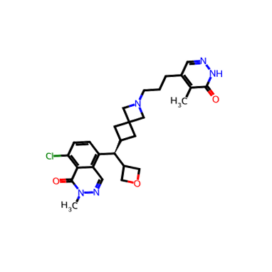 Cc1c(CCCN2CC3(CC([C@H](c4ccc(Cl)c5c(=O)n(C)ncc45)C4COC4)C3)C2)cn[nH]c1=O